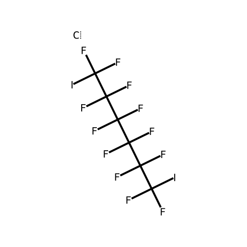 FC(F)(I)C(F)(F)C(F)(F)C(F)(F)C(F)(F)C(F)(F)I.[C]